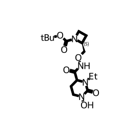 CCN1C(=O)N(O)CCC1C(=O)NOC[C@@H]1CCN1C(=O)OC(C)(C)C